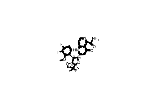 COc1c([C@H]2[C@H](c3cc(=O)c4c(C(N)=O)nccc4[nH]3)O[C@@](C)(C(F)(F)F)[C@H]2OC)ccc(F)c1F